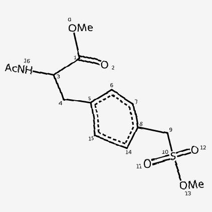 COC(=O)C(Cc1ccc(CS(=O)(=O)OC)cc1)NC(C)=O